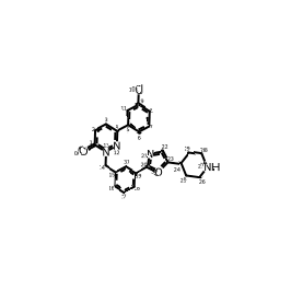 O=c1ccc(-c2cccc(Cl)c2)nn1Cc1cccc(-c2ncc(C3CCNCC3)o2)c1